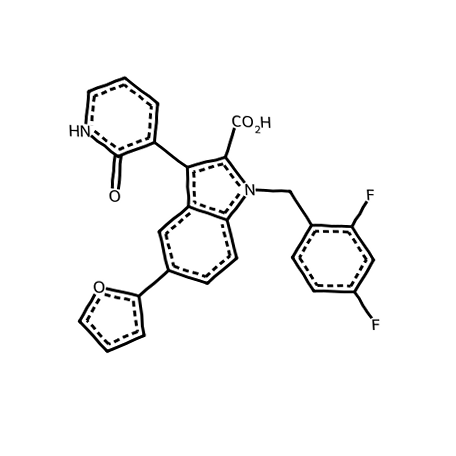 O=C(O)c1c(-c2ccc[nH]c2=O)c2cc(-c3ccco3)ccc2n1Cc1ccc(F)cc1F